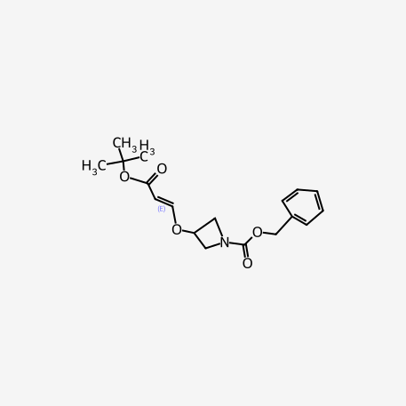 CC(C)(C)OC(=O)/C=C/OC1CN(C(=O)OCc2ccccc2)C1